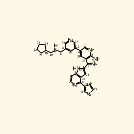 c1cc2[nH]c(-c3n[nH]c4ncc(-c5cncc(CNCC6CCCC6)c5)cc34)cc2c(-c2ccsc2)n1